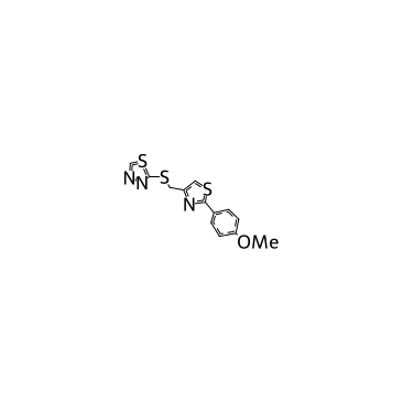 COc1ccc(-c2nc(CSc3nncs3)cs2)cc1